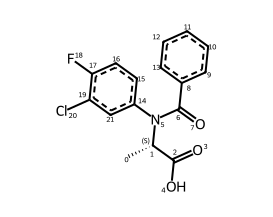 C[C@@H](C(=O)O)N(C(=O)c1ccccc1)c1ccc(F)c(Cl)c1